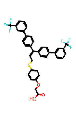 O=C(O)COc1ccc(SCC=C(c2ccc(-c3cccc(C(F)(F)F)c3)cc2)c2ccc(-c3cccc(C(F)(F)F)c3)cc2)cc1